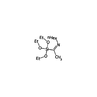 CCCCCCN=C(C)[Si](OCC)(OCC)OCC